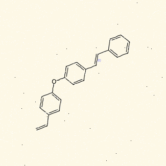 C=Cc1ccc(Oc2ccc(/C=C/c3ccccc3)cc2)cc1